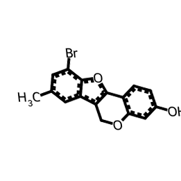 Cc1cc(Br)c2oc3c(c2c1)COc1cc(O)ccc1-3